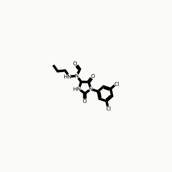 CCCNN(C=O)C1NC(=O)N(c2cc(Cl)cc(Cl)c2)C1=O